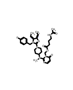 C/C=c1/nc(N2CCC(N(C)c3nccc(=O)n3COC(=O)CCCNC(C)=O)CC2)n(Cc2ccc(F)cc2)/c1=C/C